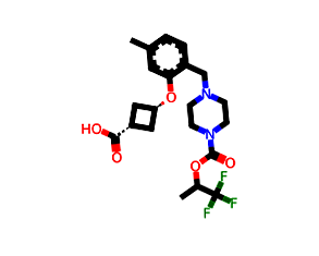 Cc1ccc(CN2CCN(C(=O)OC(C)C(F)(F)F)CC2)c(O[C@H]2C[C@@H](C(=O)O)C2)c1